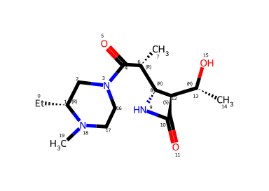 CC[C@@H]1CN(C(=O)[C@H](C)[C@H]2NC(=O)[C@@H]2[C@@H](C)O)CCN1C